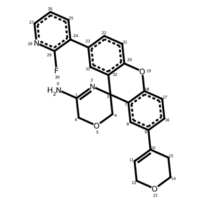 NC1=NC2(COC1)c1cc(C3=CCOCC3)ccc1Oc1ccc(-c3cccnc3F)cc12